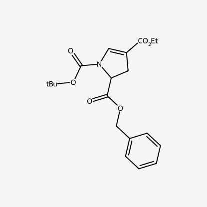 CCOC(=O)C1=CN(C(=O)OC(C)(C)C)C(C(=O)OCc2ccccc2)C1